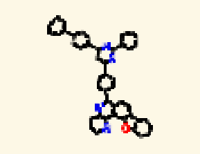 c1ccc(-c2ccc(-c3cc(-c4ccc(-c5nc6cccnc6c6c5ccc5c7ccccc7oc56)cc4)nc(-c4ccccc4)n3)cc2)cc1